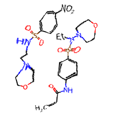 C=CC(=O)Nc1ccc(S(=O)(=O)N(CC)N2CCOCC2)cc1.O=[N+]([O-])c1ccc(S(=O)(=O)NCCN2CCOCC2)cc1